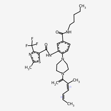 C=C(/C(C)=C\C=C/C)N1CCN(c2ccc(C(=O)NCCCCC)cc2NC(=O)c2sc(C)nc2C(F)(F)F)CC1